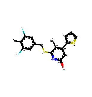 Cc1c(F)cc(CSc2[nH]c(=O)cc(-c3cccs3)c2C#N)cc1F